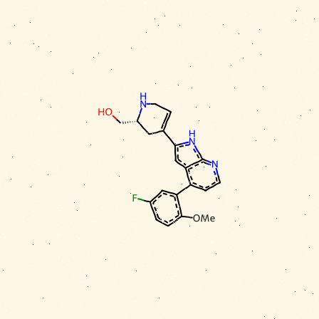 COc1ccc(F)cc1-c1ccnc2[nH]c(C3=CCN[C@@H](CO)C3)cc12